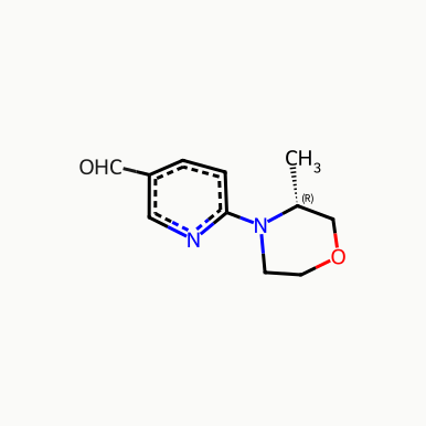 C[C@@H]1COCCN1c1ccc(C=O)cn1